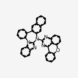 c1ccc2c(c1)Oc1cccc3nc(N4c5cc6ccccc6cc5-c5ccccc5-n5c4nc4ccccc45)nc-2c13